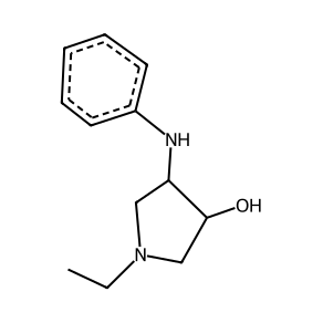 CCN1CC(O)C(Nc2ccccc2)C1